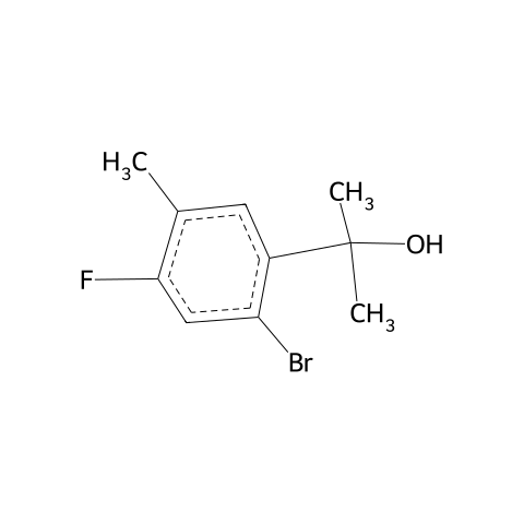 Cc1cc(C(C)(C)O)c(Br)cc1F